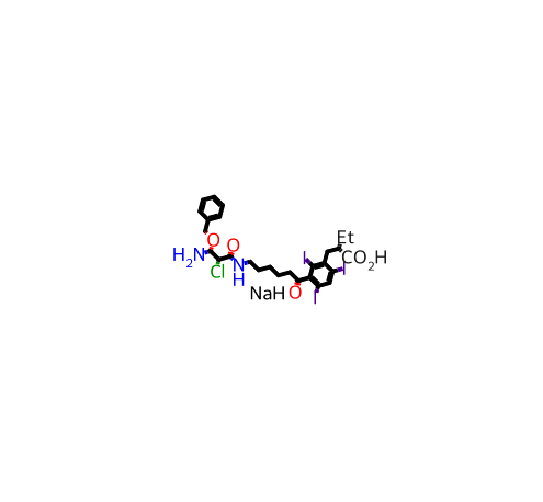 CCC(Cc1c(I)cc(I)c(C(=O)CCCCCNC(=O)C(Cl)C(N)OCc2ccccc2)c1I)C(=O)O.[NaH]